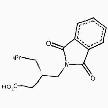 CC(C)C[C@@H](CC(=O)O)CN1C(=O)c2ccccc2C1=O